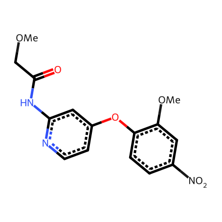 COCC(=O)Nc1cc(Oc2ccc([N+](=O)[O-])cc2OC)ccn1